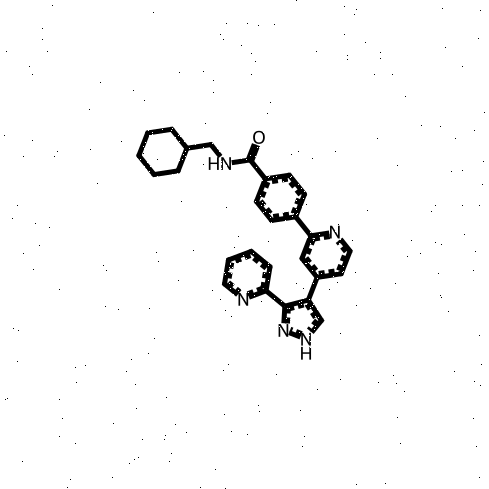 O=C(NCC1CCCCC1)c1ccc(-c2cc(-c3c[nH]nc3-c3ccccn3)ccn2)cc1